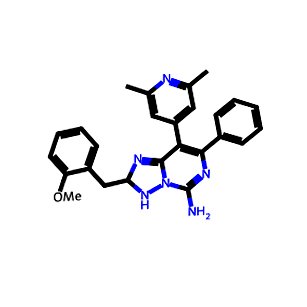 COc1ccccc1CC1N=C2C(c3cc(C)nc(C)c3)=C(c3ccccc3)N=C(N)N2N1